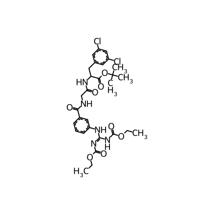 CCOC(=O)N=C(NC(=O)OCC)Nc1cccc(C(=O)NCC(=O)NC(Cc2cc(Cl)cc(Cl)c2)C(=O)OC(C)(C)C)c1